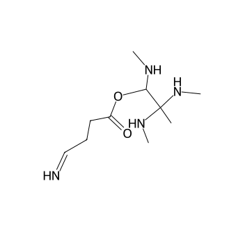 CNC(OC(=O)CCC=N)C(C)(NC)NC